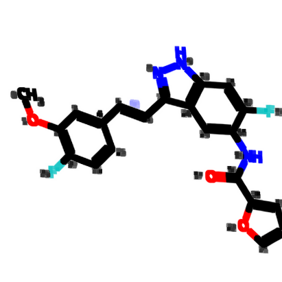 COc1cc(/C=C/c2n[nH]c3cc(F)c(NC(=O)c4ccco4)cc23)ccc1F